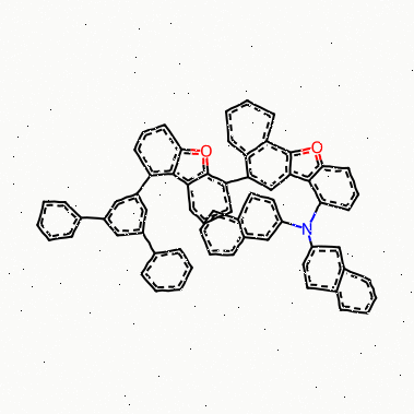 c1ccc(-c2cc(-c3ccccc3)cc(-c3cccc4oc5c(-c6cc7c(oc8cccc(N(c9ccc%10ccccc%10c9)c9ccc%10ccccc%10c9)c87)c7ccccc67)cccc5c34)c2)cc1